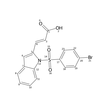 O=C(O)/C=C/c1cc2ccccc2n1S(=O)(=O)c1ccc(Br)cc1